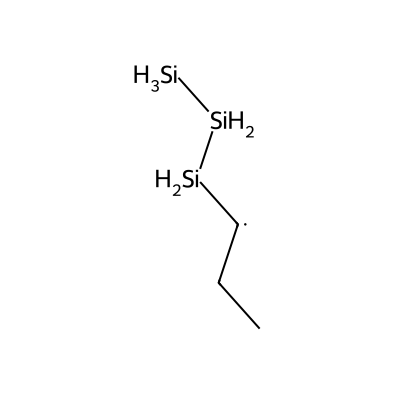 CC[CH][SiH2][SiH2][SiH3]